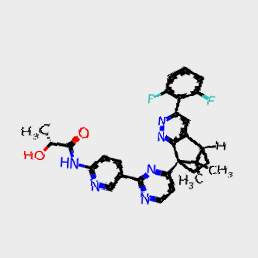 C[C@@H](O)C(=O)Nc1ccc(-c2nccc([C@@]34CC[C@@H](c5cc(-c6c(F)cccc6F)nnc53)C4(C)C)n2)cn1